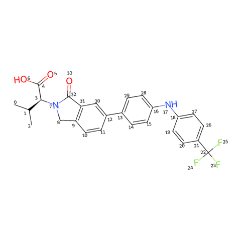 CC(C)[C@@H](C(=O)O)N1Cc2ccc(-c3ccc(Nc4ccc(C(F)(F)F)cc4)cc3)cc2C1=O